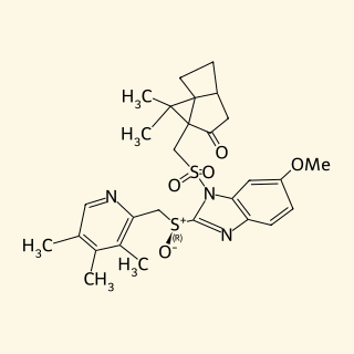 COc1ccc2nc([S@@+]([O-])Cc3ncc(C)c(C)c3C)n(S(=O)(=O)CC34C(=O)CC5CCC53C4(C)C)c2c1